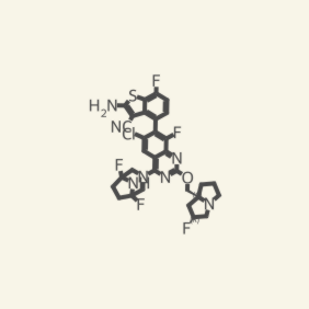 N#Cc1c(N)sc2c(F)ccc(-c3c(Cl)cc4c(N5CC6(F)CCC(F)(C5)N6)nc(OC[C@@]56CCCN5C[C@H](F)C6)nc4c3F)c12